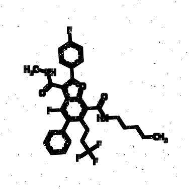 CCCCCNC(=O)c1c(CCC(F)(F)F)c(-c2ccccc2)c(F)c2c(C(=O)NC)c(-c3ccc(F)cc3)oc12